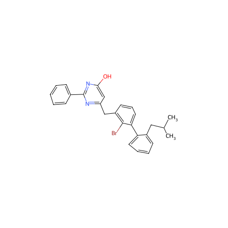 CC(C)Cc1ccccc1-c1cccc(Cc2cc(O)nc(-c3ccccc3)n2)c1Br